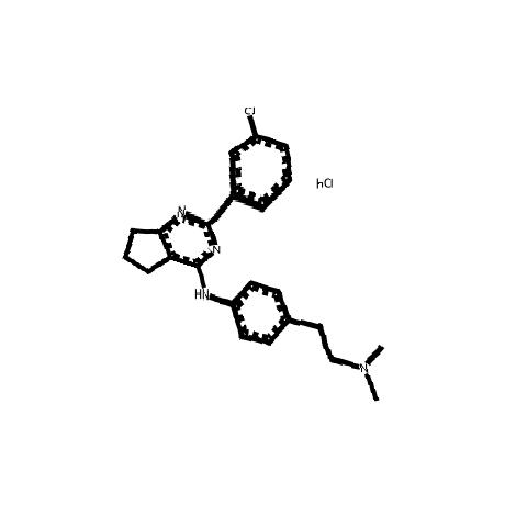 CN(C)CCc1ccc(Nc2nc(-c3cccc(Cl)c3)nc3c2CCC3)cc1.Cl